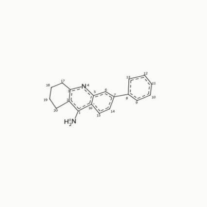 Nc1c2c(nc3cc(-c4ccccc4)ccc13)CCCC2